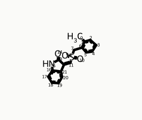 Cc1ccccc1CS(=O)(=O)C=C1C(=O)Nc2ccccc21